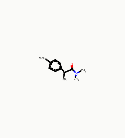 CCCCC(C(=O)N(C)C)c1ccc(OC)cc1